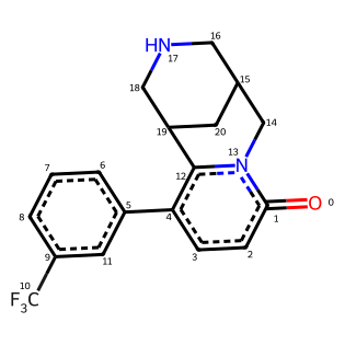 O=c1ccc(-c2cccc(C(F)(F)F)c2)c2n1CC1CNCC2C1